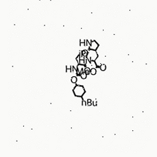 CCCCC1CCC(OC(=O)N[C@@H](CC(C)C)C(=O)N[C@@H](C[C@@H]2CCNC2=O)C(=O)OC)CC1